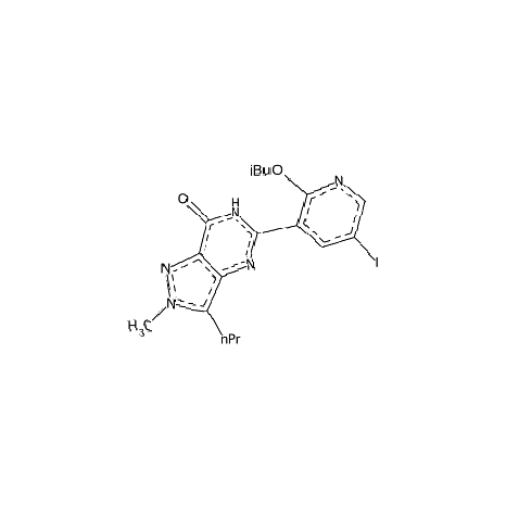 CCCc1c2nc(-c3cc(I)cnc3OCC(C)C)[nH]c(=O)c2nn1C